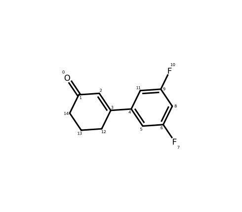 O=C1C=C(c2cc(F)cc(F)c2)CCC1